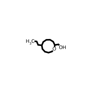 CCCC1CCCCOC(CO)CCCC1